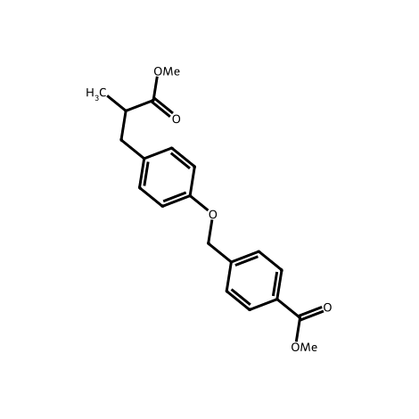 COC(=O)c1ccc(COc2ccc(CC(C)C(=O)OC)cc2)cc1